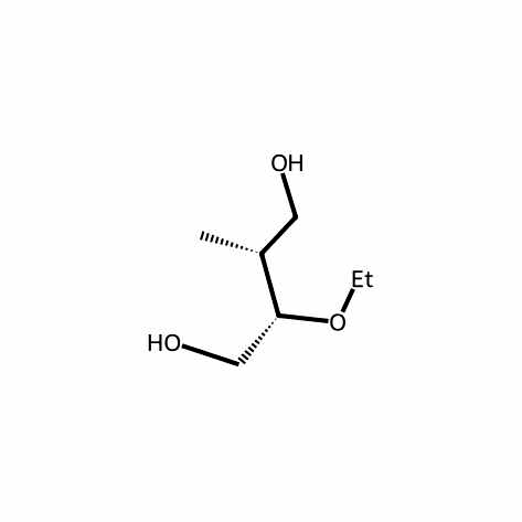 CCO[C@H](CO)[C@H](C)CO